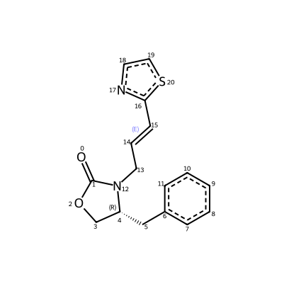 O=C1OC[C@@H](Cc2ccccc2)N1C/C=C/c1nccs1